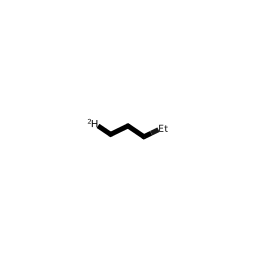 [2H]CCCCC